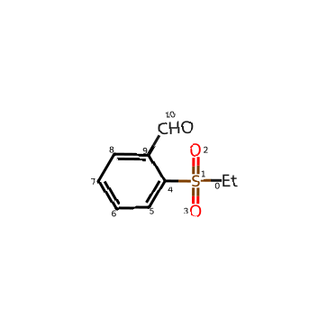 CCS(=O)(=O)c1ccccc1C=O